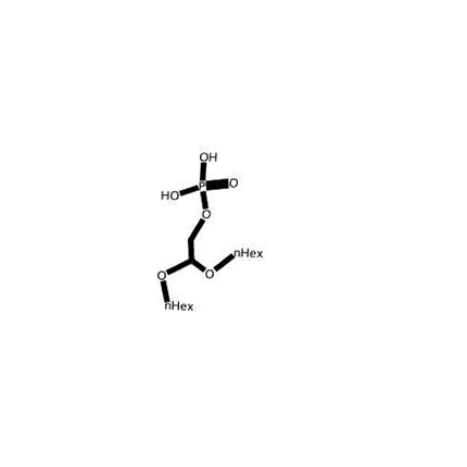 CCCCCCOC(COP(=O)(O)O)OCCCCCC